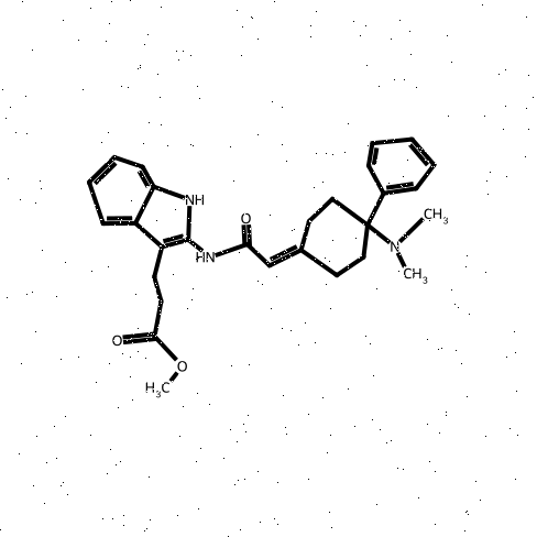 COC(=O)CCc1c(NC(=O)C=C2CCC(c3ccccc3)(N(C)C)CC2)[nH]c2ccccc12